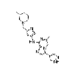 Cc1cn2c(-c3cn[nH]c3)cnc2c(Nc2cc(CN3CCCC(C)C3)ns2)n1